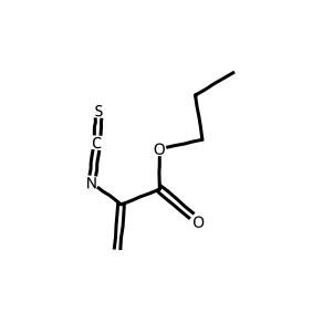 C=C(N=C=S)C(=O)OCCC